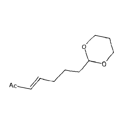 CC(=O)/C=C/CCCC1OCCCO1